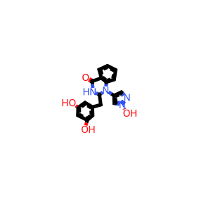 O=C1NC(Cc2cc(O)cc(O)c2)N(c2cnn(O)c2)c2ccccc21